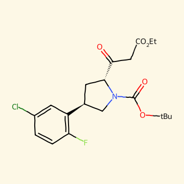 CCOC(=O)CC(=O)[C@H]1C[C@H](c2cc(Cl)ccc2F)CN1C(=O)OC(C)(C)C